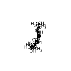 CO[C@H]1O[C@H](CO)[C@@H](O)[C@H](O)[C@H]1OC(=O)c1cc(Cl)c(OCc2cccc(CNC(=O)CCC(=O)OC(C)(C)C)c2)c(Cl)c1C